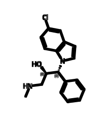 CNC[C@@H](O)[C@@H](c1ccccc1)n1ccc2cc(Cl)ccc21